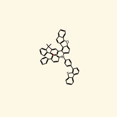 CC1(C)c2ccccc2-c2ccc(-c3c(N(c4ccc(-c5ccccc5)cc4)c4ccc(-c5cccc6c5sc5ccccc56)cc4)ccc4oc5c6ccccc6ccc5c34)cc21